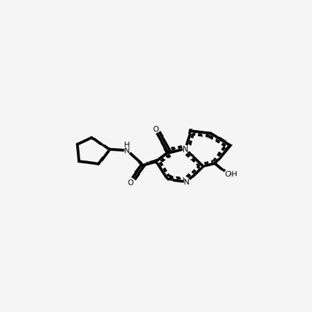 O=C(NC1CCCC1)c1cnc2c(O)cccn2c1=O